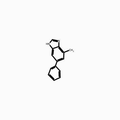 Cc1cc(-c2ccccc2)cc2[nH]cnc12